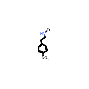 CCNCCc1ccc([N+](=O)[O-])cc1